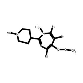 CCC1=C(OCC(F)(F)F)C(Br)=C(CC)N(C)C(C2CCN(C(C)=O)CC2)=N1